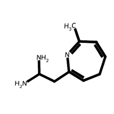 CC1=NC(CC(N)N)=CCC=C1